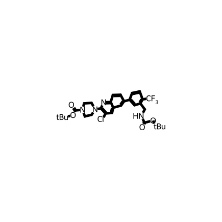 CC(C)(C)OC(=O)NCc1cc(-c2ccc3nc(N4CCN(C(=O)OC(C)(C)C)CC4)c(Cl)cc3c2)ccc1C(F)(F)F